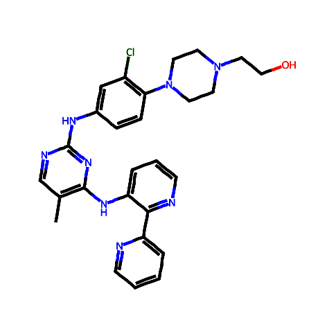 Cc1cnc(Nc2ccc(N3CCN(CCO)CC3)c(Cl)c2)nc1Nc1cccnc1-c1ccccn1